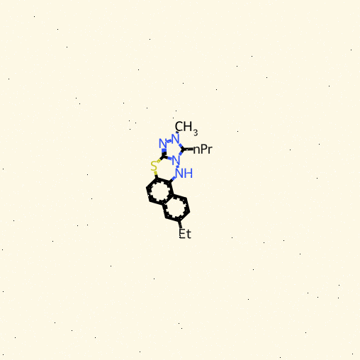 CCCC1N(C)N=C2Sc3ccc4cc(CC)ccc4c3NN21